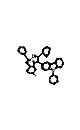 Fc1ccc2cc(-c3ccccc3)n3nc(-c4ccccc4)c(-c4ccc5c(c4)c4ccccc4n5-c4ccccc4)c3c2c1